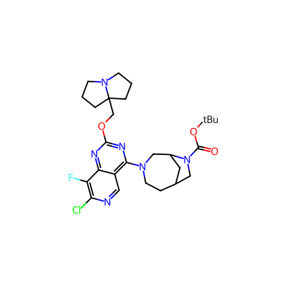 CC(C)(C)OC(=O)N1CC2CCN(c3nc(OCC45CCCN4CCC5)nc4c(F)c(Cl)ncc34)CC1C2